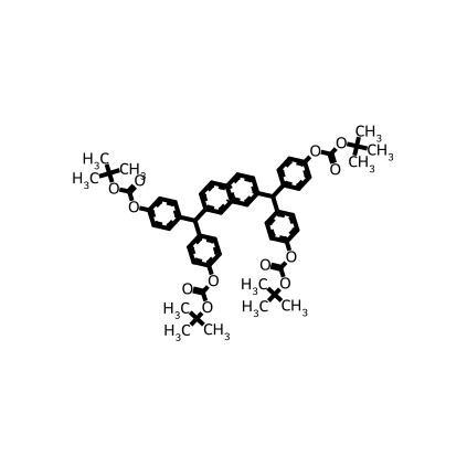 CC(C)(C)OC(=O)Oc1ccc(C(c2ccc(OC(=O)OC(C)(C)C)cc2)c2ccc3ccc(C(c4ccc(OC(=O)OC(C)(C)C)cc4)c4ccc(OC(=O)OC(C)(C)C)cc4)cc3c2)cc1